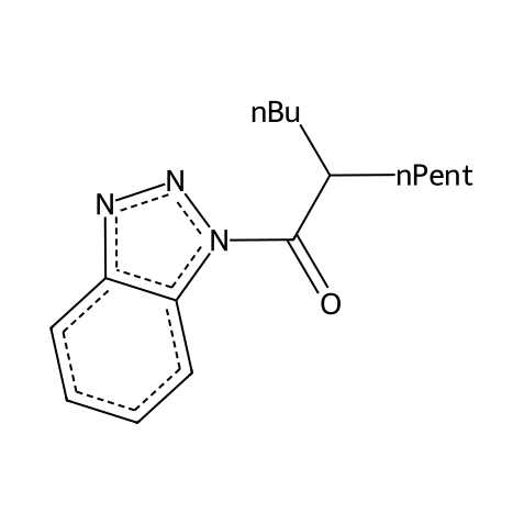 CCCCCC(CCCC)C(=O)n1nnc2ccccc21